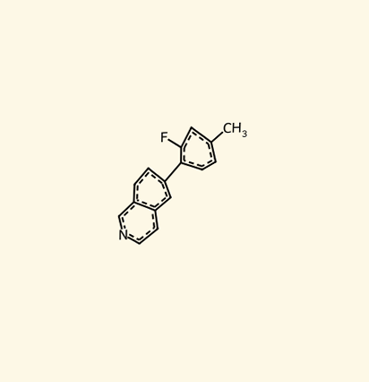 Cc1ccc(-c2ccc3cnccc3c2)c(F)c1